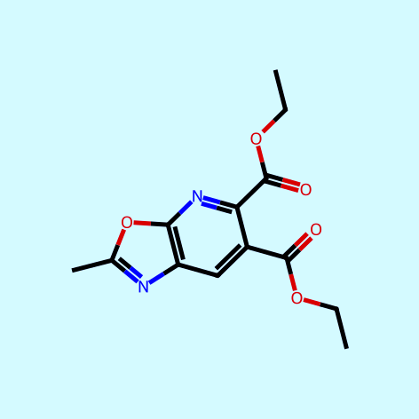 CCOC(=O)c1cc2nc(C)oc2nc1C(=O)OCC